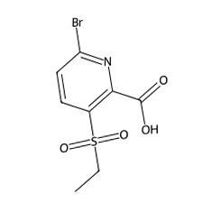 CCS(=O)(=O)c1ccc(Br)nc1C(=O)O